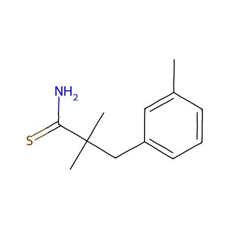 Cc1cccc(CC(C)(C)C(N)=S)c1